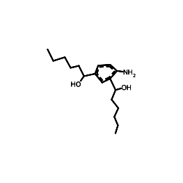 CCCCCC(O)c1ccc(N)c(C(O)CCCCC)c1